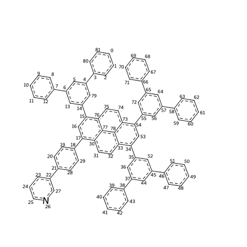 c1ccc(-c2cc(-c3ccccc3)cc(-c3cc(-c4ccc(-c5cccnc5)cc4)c4ccc5c(-c6cc(-c7ccccc7)cc(-c7ccccc7)c6)cc(-c6cc(-c7ccccc7)cc(-c7ccccc7)c6)c6ccc3c4c56)c2)cc1